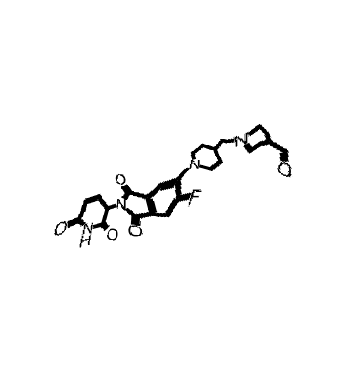 O=CC1CN(CC2CCN(c3cc4c(cc3F)C(=O)N(C3CCC(=O)NC3=O)C4=O)CC2)C1